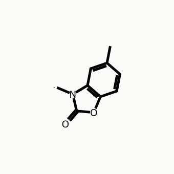 [CH2]n1c(=O)oc2ccc(C)cc21